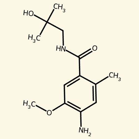 COc1cc(C(=O)NCC(C)(C)O)c(C)cc1N